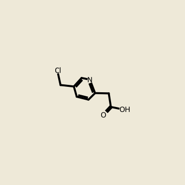 O=C(O)Cc1ccc(CCl)cn1